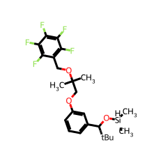 C[SiH](C)OC(c1cccc(OCC(C)(C)OCc2c(F)c(F)c(F)c(F)c2F)c1)C(C)(C)C